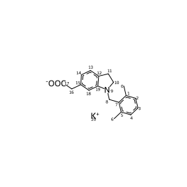 Cc1cccc(C)c1CN1CCc2ccc(CC(=O)[O-])cc21.[K+]